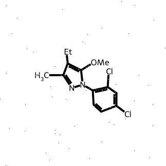 CCc1c(C)nn(-c2ccc(Cl)cc2Cl)c1OC